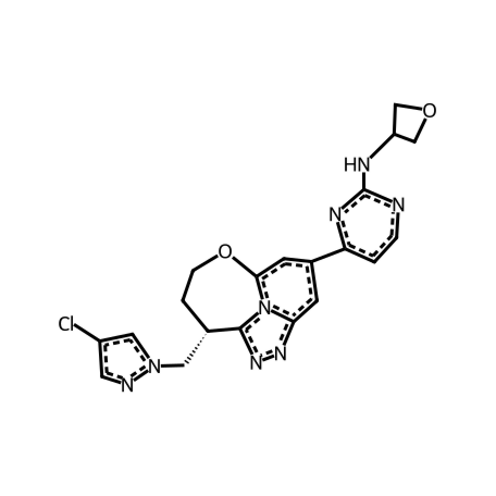 Clc1cnn(C[C@@H]2CCOc3cc(-c4ccnc(NC5COC5)n4)cc4nnc2n34)c1